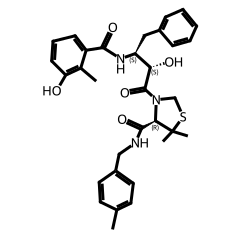 Cc1ccc(CNC(=O)[C@H]2N(C(=O)[C@@H](O)[C@H](Cc3ccccc3)NC(=O)c3cccc(O)c3C)CSC2(C)C)cc1